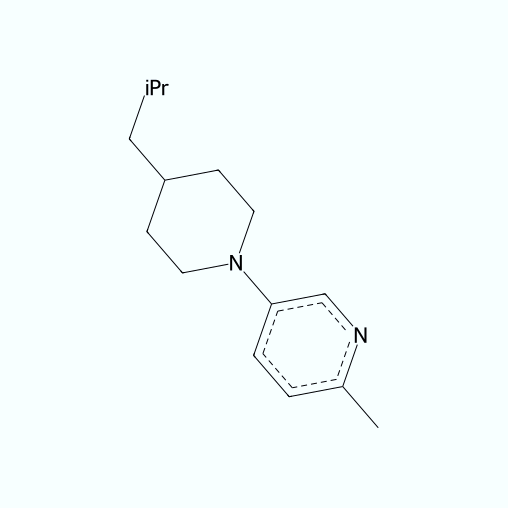 Cc1ccc(N2CCC(CC(C)C)CC2)cn1